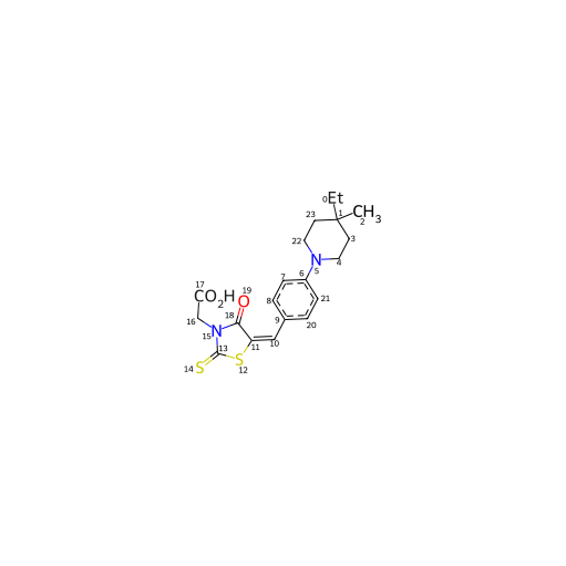 CCC1(C)CCN(c2ccc(C=C3SC(=S)N(CC(=O)O)C3=O)cc2)CC1